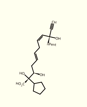 C#C[C@](O)(/C=C\C/C=C/C[C@@H](O)[C@](O)(C(=O)O)C1CCCC1)CCCCC